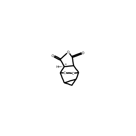 O=C1OC(=O)[C@@H]2C3CCC(C4CC43)C12